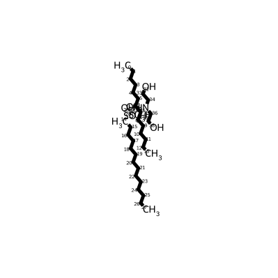 CCCCCCCCCCCCCC.CCCCCCCCCCCCCC.O=S(=O)(O)O.O=S(=O)(O)O.OCCNCCO